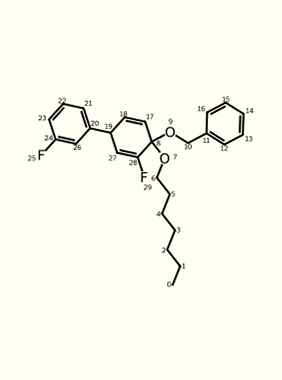 CCCCCCCOC1(OCc2ccccc2)C=CC(c2cccc(F)c2)C=C1F